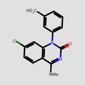 CNc1nc(=O)n(-c2cccc(C(=O)O)c2)c2cc(Cl)ccc12